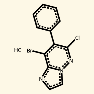 Cl.Clc1nn2ccnc2c(Br)c1-c1ccccc1